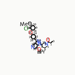 C=CC(=O)N1CCCC(n2nc(-c3ccc(Oc4cccc(OC)c4Cl)cc3)c3cncc(OCCC)c32)C1